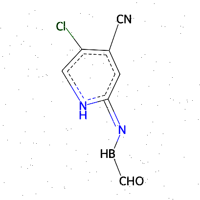 N#Cc1cc(=NBC=O)[nH]cc1Cl